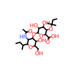 CCC(C)C1OC(CO)C(O)C(OC2OC(C(=O)O)C(OC(C)(C)CC)C(O)C2O)C1NC(C)=O